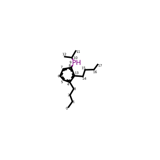 CCCCc1cccc(PC(C)C)c1CCCC